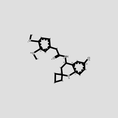 COc1ccc(CC(=O)NC2CC3(CCC3)Oc3ccc(Cl)cc32)cc1OC